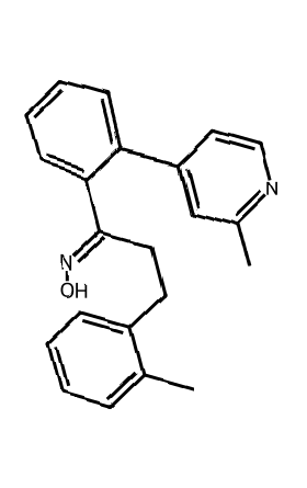 Cc1cc(-c2ccccc2/C(CCc2ccccc2C)=N/O)ccn1